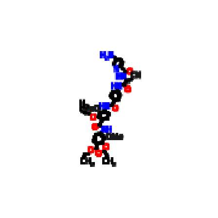 C=CCOC(=O)c1ccc(NC(=O)c2ccc(NC(=O)c3ccc(NC(=O)[C@H](CC#N)NC(=O)c4ccc(N)cn4)cc3)c(OC)c2OCC=C)c(OC)c1OCC=C